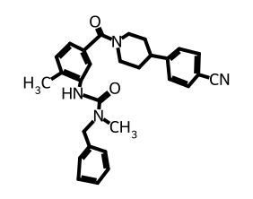 Cc1ccc(C(=O)N2CCC(c3ccc(C#N)cc3)CC2)cc1NC(=O)N(C)Cc1ccccc1